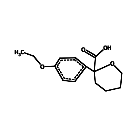 CCOc1ccc(C2(C(=O)O)CCCCO2)cc1